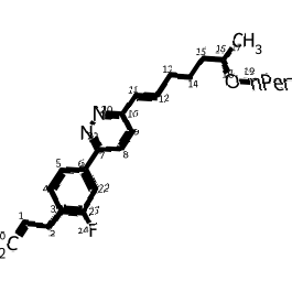 C=CCc1ccc(-c2ccc(C=CCCCC(C)OCCCCC)nn2)cc1F